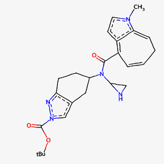 Cn1ccc2c1=CCC=CC=2C(=O)N(C1CCc2nn(C(=O)OC(C)(C)C)cc2C1)C1CN1